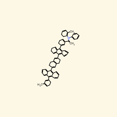 C=C(C1=CCCC(c2c3c(c(C4=CC5=C(C=C(c6c7ccccc7c(C7=CC(C)=CCC7)c7ccccc67)CC5)CC4)c4ccccc24)=CCCC=3)=C1)N(C1=C(C)C=CCC1)c1ccccc1